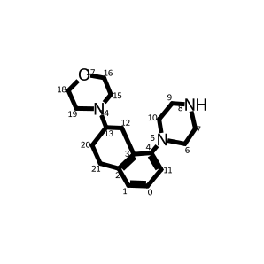 c1cc2c(c(N3CCNCC3)c1)CC(N1CCOCC1)CC2